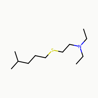 CCN(CC)CCSCCCC(C)C